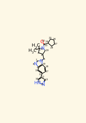 CC1(C)CC(Cn2cnc3cc(-c4cn[nH]c4)ccc32)CN1C(=O)C1CCCC1